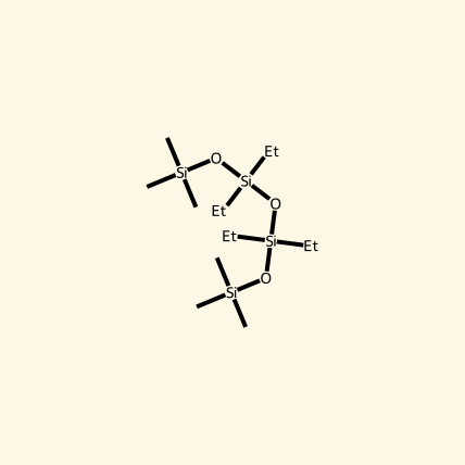 CC[Si](CC)(O[Si](C)(C)C)O[Si](CC)(CC)O[Si](C)(C)C